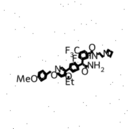 CCOc1cc(OCc2ccc(OC)cc2)ncc1-c1ccc(C(C(N)=O)c2cc(C(=O)NCCN3CCC3)cc(C(F)(F)F)c2)c(F)c1